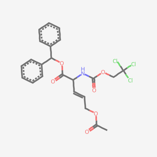 CC(=O)OCC=CC(NC(=O)OCC(Cl)(Cl)Cl)C(=O)OC(c1ccccc1)c1ccccc1